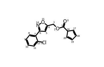 O=C(OCc1cc(-c2ccccc2Cl)no1)C1C=CC=C1